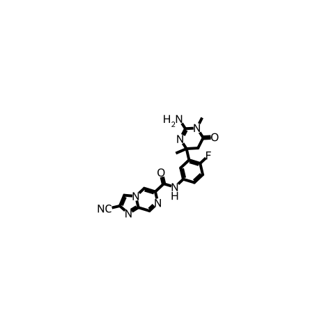 CN1C(=O)CC(C)(c2cc(NC(=O)c3cn4cc(C#N)nc4cn3)ccc2F)N=C1N